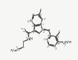 COCCNC(=O)c1cn(Cc2ncnc(OC)c2C)c2cc(C)cnc12